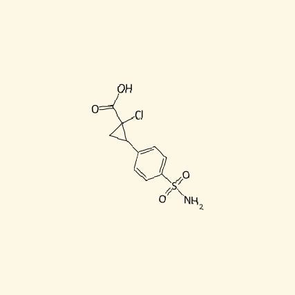 NS(=O)(=O)c1ccc(C2CC2(Cl)C(=O)O)cc1